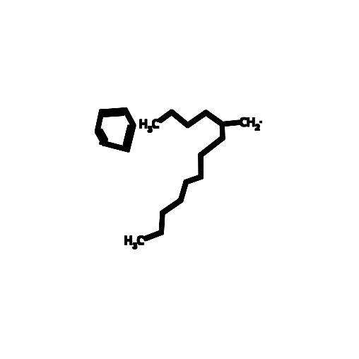 [CH2]C(CCCC)CCCCCCCC.[c]1ccccc1